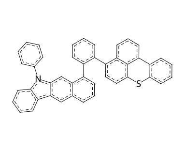 c1ccc(-n2c3ccccc3c3cc4cccc(-c5ccccc5-c5ccc6c7c(cccc57)-c5ccccc5S6)c4cc32)cc1